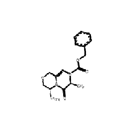 CCCCC[C@H]1COCC2=CN(C(=O)OCc3ccccc3)[C@@H](C)C(=O)N21